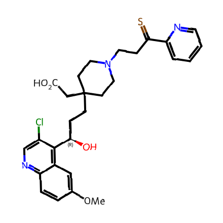 COc1ccc2ncc(Cl)c([C@H](O)CCC3(CC(=O)O)CCN(CCC(=S)c4ccccn4)CC3)c2c1